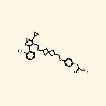 NC(=O)Cc1ccc(OCC2CC3(CC(/C=C/c4c(-c5ccccc5C(F)(F)F)noc4C4CC4)C3)C2)cc1